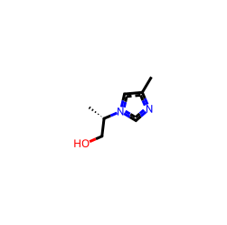 Cc1cn([C@@H](C)CO)cn1